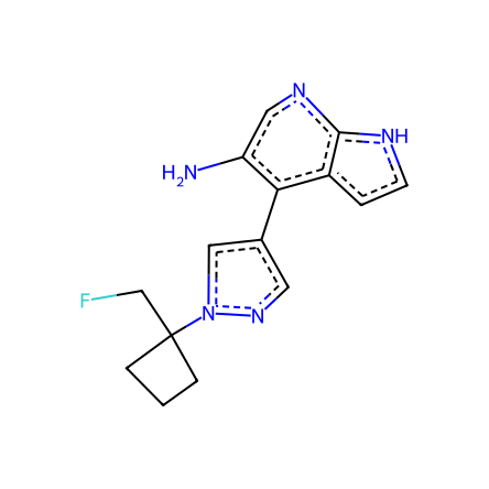 Nc1cnc2[nH]ccc2c1-c1cnn(C2(CF)CCC2)c1